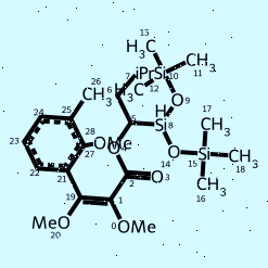 COC(C(=O)OC(CC(C)C)[SiH](O[Si](C)(C)C)O[Si](C)(C)C)=C(OC)c1cccc(C)c1OC